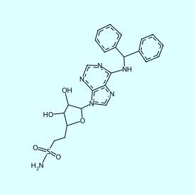 NS(=O)(=O)CCC1OC(n2cnc3c(NC(c4ccccc4)c4ccccc4)ncnc32)C(O)C1O